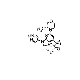 C[C@@H]1COCCN1c1cc(C2(S(C)(=O)=O)CC2)c2ccn(-c3cn[nH]n3)c2n1